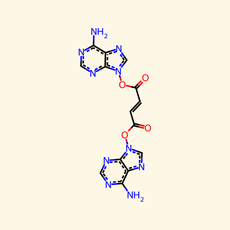 Nc1ncnc2c1ncn2OC(=O)/C=C/C(=O)On1cnc2c(N)ncnc21